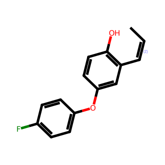 C/C=C\c1cc(Oc2ccc(F)cc2)ccc1O